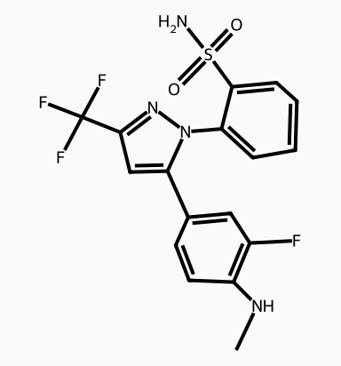 CNc1ccc(-c2cc(C(F)(F)F)nn2-c2ccccc2S(N)(=O)=O)cc1F